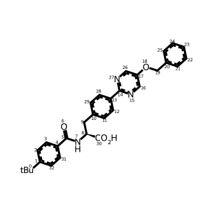 CC(C)(C)c1ccc(C(=O)N[C@@H](Cc2ccc(-c3ncc(OCc4ccccc4)cn3)cc2)C(=O)O)cc1